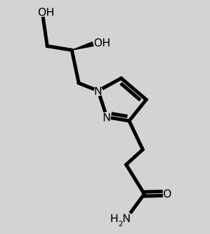 NC(=O)CCc1ccn(C[C@H](O)CO)n1